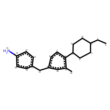 CCC1CCC(c2ccc(Cc3ccc(N)cc3)cc2C)CC1